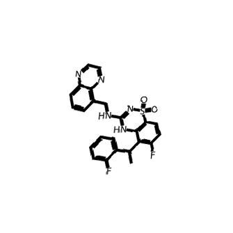 CC(c1ccccc1F)c1c(F)ccc2c1NC(NCc1cccc3nccnc13)=NS2(=O)=O